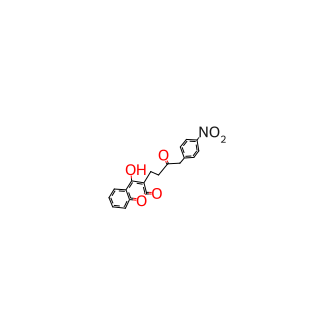 O=C(CCc1c(O)c2ccccc2oc1=O)Cc1ccc([N+](=O)[O-])cc1